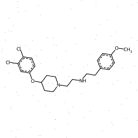 COc1ccc(CCNCCN2CCC(Oc3ccc(Cl)c(Cl)c3)CC2)cc1